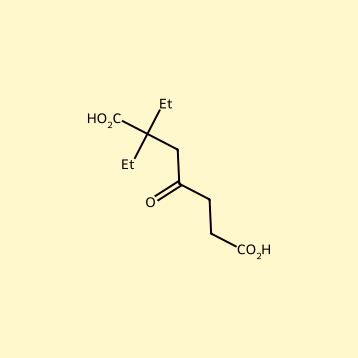 CCC(CC)(CC(=O)CCC(=O)O)C(=O)O